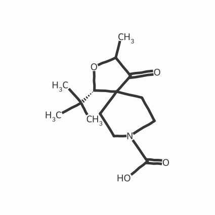 CC1O[C@@H](C(C)(C)C)C2(CCN(C(=O)O)CC2)C1=O